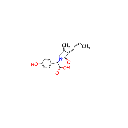 C=C1CN(C(C(=O)O)c2ccc(O)cc2)C(=O)/C1=C/C=C\C